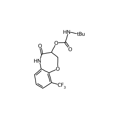 CC(C)(C)NC(=O)OC1COc2c(cccc2C(F)(F)F)NC1=O